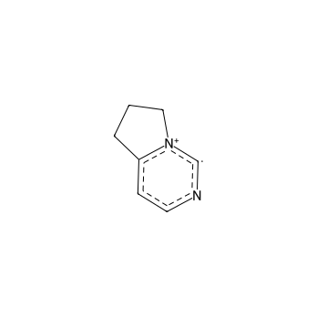 [c]1nccc2[n+]1CCC2